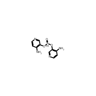 Nc1ccncc1O[PH](=O)Oc1cnccc1N